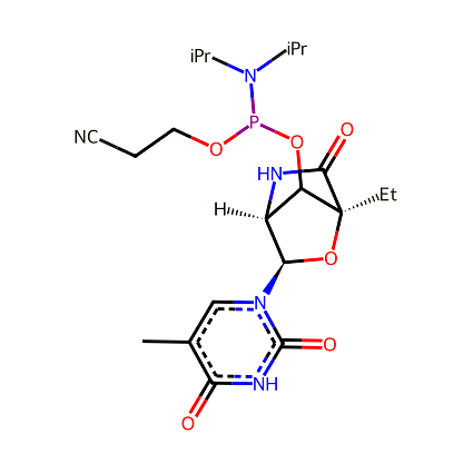 CC[C@@]12O[C@@H](n3cc(C)c(=O)[nH]c3=O)[C@@H](NC1=O)C2OP(OCCC#N)N(C(C)C)C(C)C